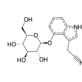 N#CCc1c[nH]c2cccc(O[C@@H]3O[C@H](CO)[C@@H](O)[C@H](O)[C@H]3O)c12